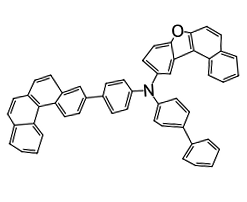 c1ccc(-c2ccc(N(c3ccc(-c4ccc5c(ccc6ccc7ccccc7c65)c4)cc3)c3ccc4oc5ccc6ccccc6c5c4c3)cc2)cc1